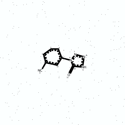 N#Cc1cccc(-n2nn[nH]c2=O)c1